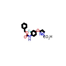 O=C(Nc1ccc(Oc2ccn(C(=O)O)n2)cc1F)OCc1ccccc1